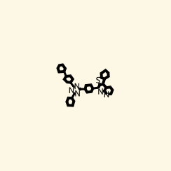 c1ccc(-c2ccc(-c3nc(-c4ccccc4)nc(-c4ccc(-c5nc6ncccc6c6c5sc5ccccc56)cc4)n3)cc2)cc1